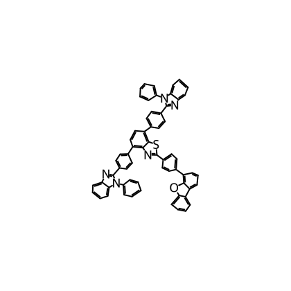 c1ccc(-n2c(-c3ccc(-c4ccc(-c5ccc(-c6nc7ccccc7n6-c6ccccc6)cc5)c5sc(-c6ccc(-c7cccc8c7oc7ccccc78)cc6)nc45)cc3)nc3ccccc32)cc1